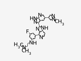 CN(C)CCNc1cc(F)cc(-c2nccc3[nH]c(-c4n[nH]c5ncc(-c6cnn(C)c6)cc45)nc23)c1